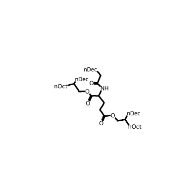 CCCCCCCCCCCC(=O)NC(CCC(=O)OCC(CCCCCCCC)CCCCCCCCCC)C(=O)OCC(CCCCCCCC)CCCCCCCCCC